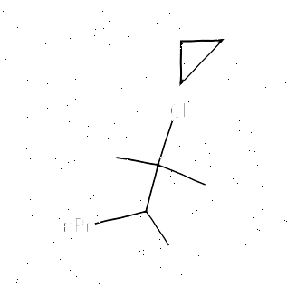 C1CC1.CCCC(C)C(C)(C)Cl